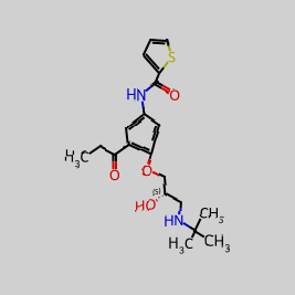 CCC(=O)c1cc(NC(=O)c2cccs2)ccc1OC[C@@H](O)CNC(C)(C)C